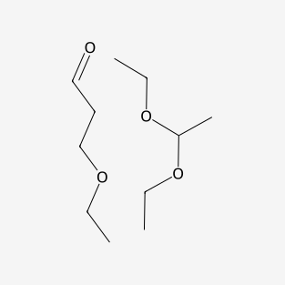 CCOC(C)OCC.CCOCCC=O